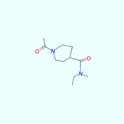 CCN(C)C(=O)C1CCN(C(C)=O)CC1